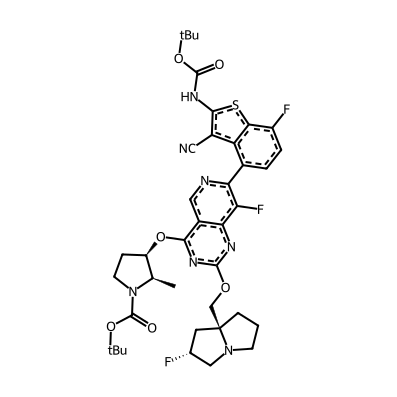 C[C@@H]1[C@H](Oc2nc(OC[C@@]34CCCN3C[C@H](F)C4)nc3c(F)c(-c4ccc(F)c5sc(NC(=O)OC(C)(C)C)c(C#N)c45)ncc23)CCN1C(=O)OC(C)(C)C